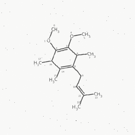 COC1=C(OC)C(C)C(CC=C(C)C)=C(C)C1C